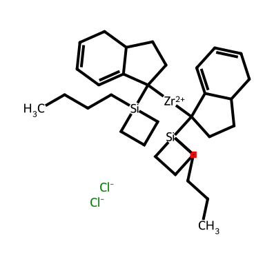 CCCC[Si]1([C]2([Zr+2][C]3([Si]4(CCCC)CCC4)CCC4CC=CC=C43)CCC3CC=CC=C32)CCC1.[Cl-].[Cl-]